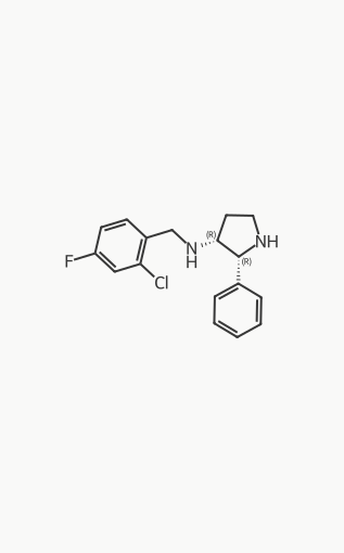 Fc1ccc(CN[C@@H]2CCN[C@@H]2c2ccccc2)c(Cl)c1